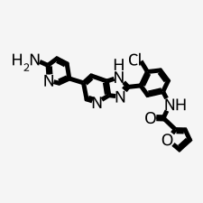 Nc1ccc(-c2cnc3nc(-c4cc(NC(=O)c5ccco5)ccc4Cl)[nH]c3c2)cn1